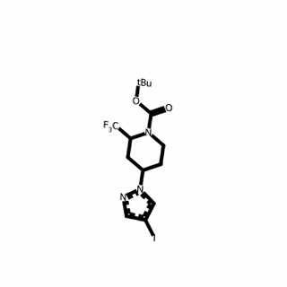 CC(C)(C)OC(=O)N1CCC(n2cc(I)cn2)CC1C(F)(F)F